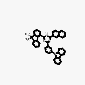 CC1(C)c2ccccc2-c2c(C3=NC(c4cccc(-n5c6ccccc6c6ccccc65)c4)=NC(c4ccc5ccccc5c4)N3)cccc21